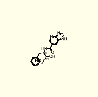 O=C(N[C@H](Cc1ccccc1)[C@@H](O)C(=O)O)c1cnc2nn[nH]c2c1